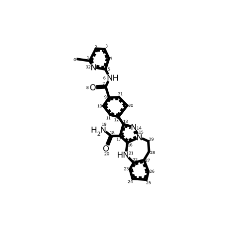 Cc1cccc(NC(=O)c2ccc(-c3nn4c(c3C(N)=O)Nc3ccccc3CC4)cc2)n1